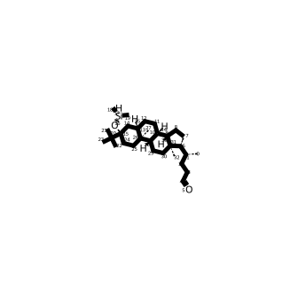 C[C@H](CCC=O)[C@H]1CC[C@H]2[C@@H]3CC[C@@H]4C[C@](O[SiH](C)C)(C(C)(C)C)CC[C@]4(C)[C@H]3CC[C@]12C